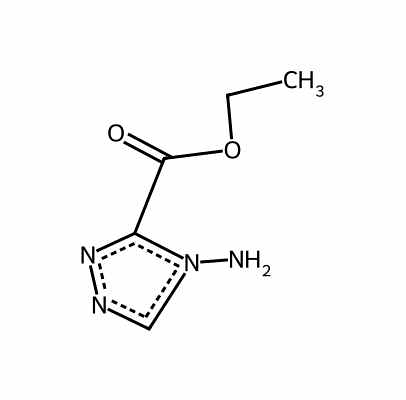 CCOC(=O)c1nncn1N